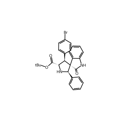 CC(C)(C)OC(=O)[C@H]1N[C@H](c2ccccc2)[C@@]2(C(=O)Nc3ccccc32)[C@@H]1c1ccc(Br)cc1